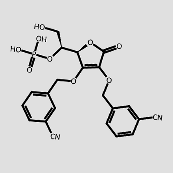 N#Cc1cccc(COC2=C(OCc3cccc(C#N)c3)[C@@H]([C@H](CO)OP(=O)(O)O)OC2=O)c1